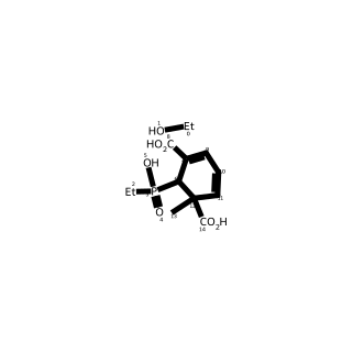 CCO.CCP(=O)(O)C1C(C(=O)O)=CC=CC1(C)C(=O)O